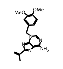 C=C(C)c1nc2c(N)ncn(Cc3ccc(OC)c(OC)c3)c-2n1